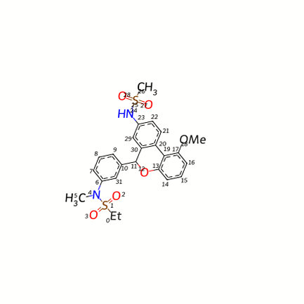 CCS(=O)(=O)N(C)c1cccc(C2Oc3cccc(OC)c3-c3ccc(NS(C)(=O)=O)cc32)c1